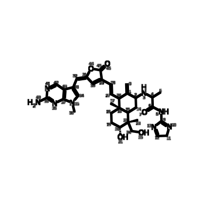 C=C1C(NC(C)C(=O)NC2=NCC=N2)CC2[C@](C)(CC[C@@H](O)[C@@]2(C)CO)C1/C=C/C1=CC(=C\c2cn(C)c3nc(N)ncc23)/OC1=O